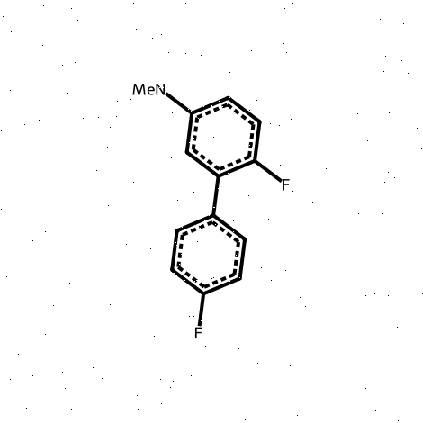 CNc1ccc(F)c(-c2ccc(F)cc2)c1